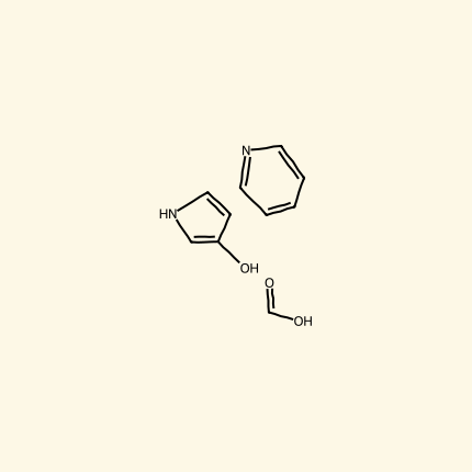 O=CO.Oc1cc[nH]c1.c1ccncc1